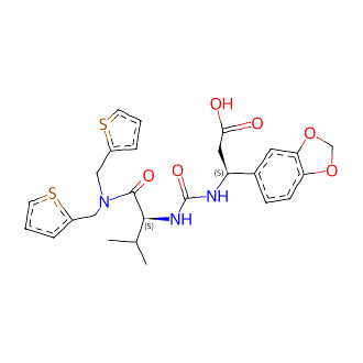 CC(C)[C@H](NC(=O)N[C@@H](CC(=O)O)c1ccc2c(c1)OCO2)C(=O)N(Cc1cccs1)Cc1cccs1